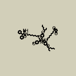 CCCCC(CC)COc1ccc(-c2nc(-c3ccc(OC)cc3)nc(-c3ccc(OCC(CC)CCCC)cc3OCCCCCCCCN3C(=O)C=CC3=O)n2)c(OCCCCCCCCNC(=O)C(C#N)=C(c2ccccc2)c2ccccc2)c1